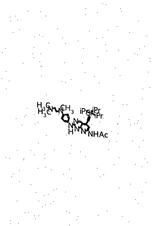 CC(=O)Nc1cc(C#C[Si](C(C)C)(C(C)C)C(C)C)c2cnc(Nc3ccc(N(C)CCN(C)C)cc3)nc2n1